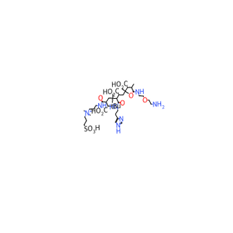 CC(C(=O)NCCOCCN)C(C(=O)O)C(C)(C)CC(C(=O)O)C(C(=O)NCCc1c[nH]cn1)C(C)(C)CC(C(=O)NCCC[N+](C)(C)CCCS(=O)(=O)O)C(C(=O)O)C(C)(C)C